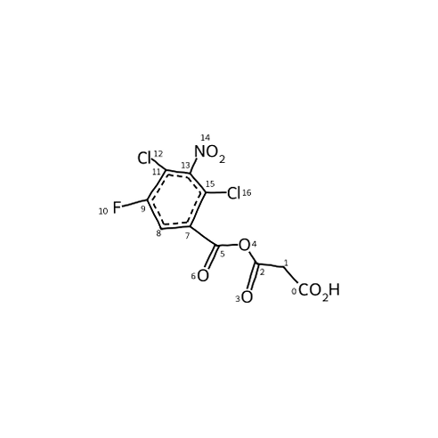 O=C(O)CC(=O)OC(=O)c1cc(F)c(Cl)c([N+](=O)[O-])c1Cl